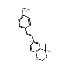 CC1(C)CCOc2ccc(/C=C/c3ccc(C(=O)O)nc3)cc21